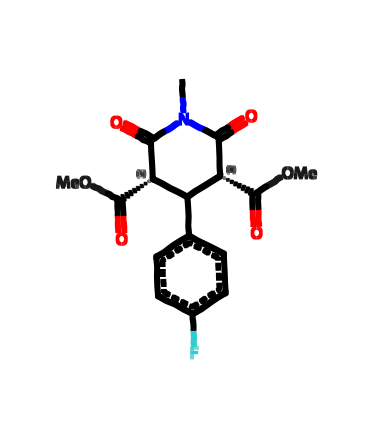 COC(=O)[C@@H]1C(=O)N(C)C(=O)[C@H](C(=O)OC)C1c1ccc(F)cc1